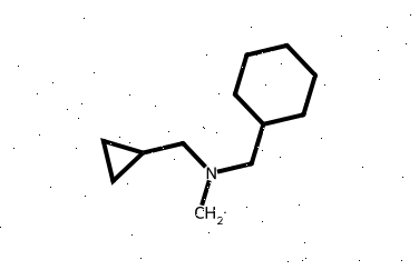 [CH2]N(CC1CCCCC1)CC1CC1